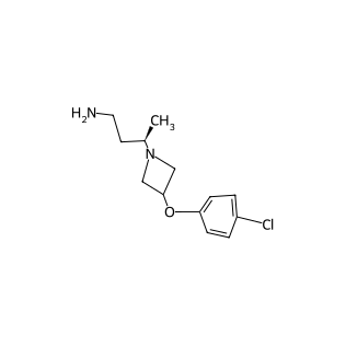 C[C@H](CCN)N1CC(Oc2ccc(Cl)cc2)C1